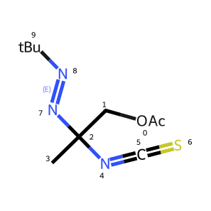 CC(=O)OCC(C)(N=C=S)/N=N/C(C)(C)C